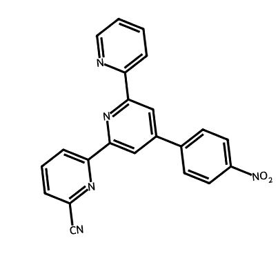 N#Cc1cccc(-c2cc(-c3ccc([N+](=O)[O-])cc3)cc(-c3ccccn3)n2)n1